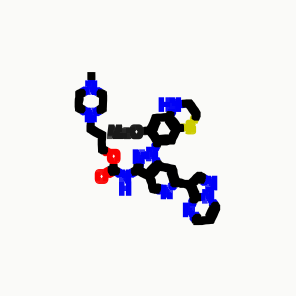 COc1cc2c(cc1-n1nc(NC(=O)OCCCN3CCN(C)CC3)c3cnc(-c4cnn5cccnc45)cc31)SCCN2